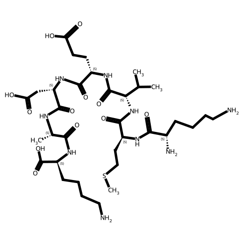 CSCC[C@H](NC(=O)[C@@H](N)CCCCN)C(=O)N[C@H](C(=O)N[C@@H](CCC(=O)O)C(=O)N[C@@H](CC(=O)O)C(=O)N[C@@H](C)C(=O)N[C@@H](CCCCN)C(=O)O)C(C)C